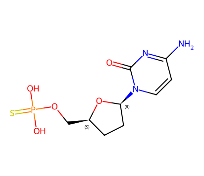 Nc1ccn([C@H]2CC[C@@H](COP(O)(O)=S)O2)c(=O)n1